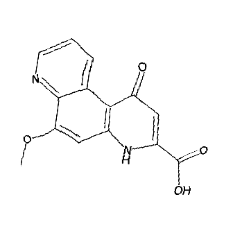 COc1cc2[nH]c(C(=O)O)cc(=O)c2c2cccnc12